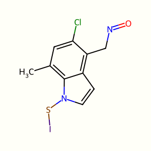 Cc1cc(Cl)c(CN=O)c2ccn(SI)c12